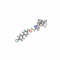 CC(C)(Sc1nc(CCOCc2ccc(-c3ccc(Cl)cc3)cc2)cs1)C(=O)O